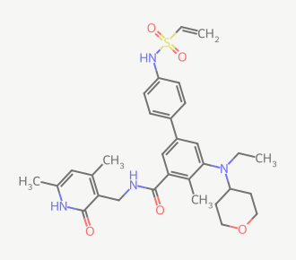 C=CS(=O)(=O)Nc1ccc(-c2cc(C(=O)NCc3c(C)cc(C)[nH]c3=O)c(C)c(N(CC)C3CCOCC3)c2)cc1